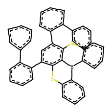 c1ccc(-c2ccccc2-c2cc(-c3ccccc3-c3ccccc3)c3c4c2Sc2ccccc2B4c2ccccc2S3)cc1